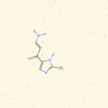 CN(C)C=CC(=O)c1cnc(C(F)(F)F)n1C